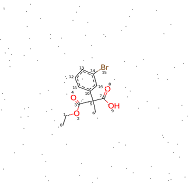 CCOC(=O)C(C)(C(=O)O)c1cccc(Br)c1